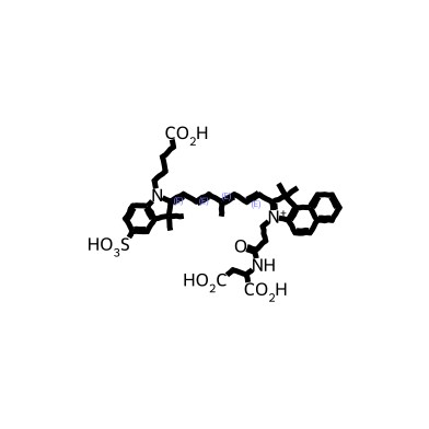 CC(/C=C/C=C1/N(CCCCC(=O)O)c2ccc(S(=O)(=O)O)cc2C1(C)C)=C\C=C\C1=[N+](CCC(=O)NC(CC(=O)O)C(=O)O)c2ccc3ccccc3c2C1(C)C